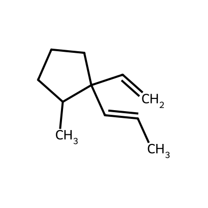 C=CC1(C=CC)CCCC1C